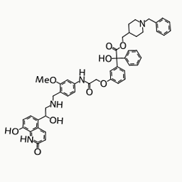 COc1cc(NC(=O)COc2cccc(C(O)(C(=O)OCC3CCN(Cc4ccccc4)CC3)c3ccccc3)c2)ccc1CNCC(O)c1ccc(O)c2[nH]c(=O)ccc12